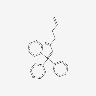 C=CCCC(=O)C=P(c1ccccc1)(c1ccccc1)c1ccccc1